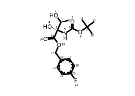 C[C@H](O)[C@@](O)(NC(=O)OC(C)(C)C)C(=O)OCc1ccc(F)cc1